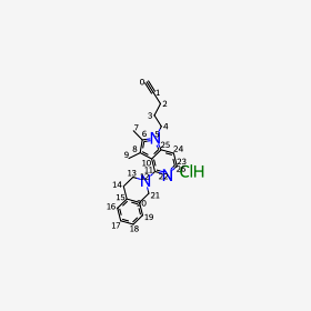 C#CCCCn1c(C)c(C)c2c(N3CCc4ccccc4C3)nccc21.Cl